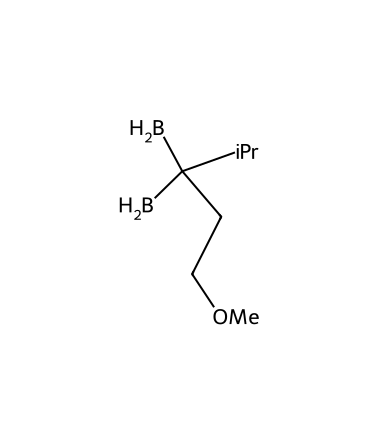 BC(B)(CCOC)C(C)C